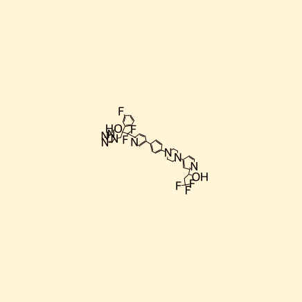 OC(CC(F)(F)F)c1cc(N2CCN(c3ccc(-c4ccc(C(F)(F)C(O)(Cn5cnnn5)c5cccc(F)c5)nc4)cc3)CC2)ccn1